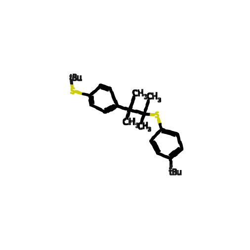 CC(C)(C)Sc1ccc(C(C)(C)C(C)(C)Sc2ccc(C(C)(C)C)cc2)cc1